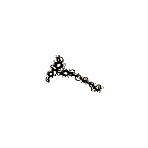 COc1ccc(-c2sc3cc(OC)ccc3c2Oc2ccc(OCCOCCOCCOCC(=O)OC(C)(C)C)cc2)cc1